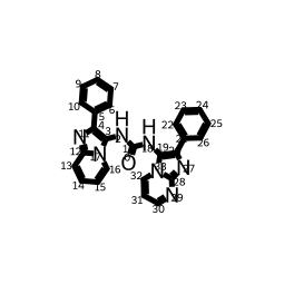 O=C(Nc1c(-c2ccccc2)nc2ccccn12)Nc1c(-c2ccccc2)nc2ncccn12